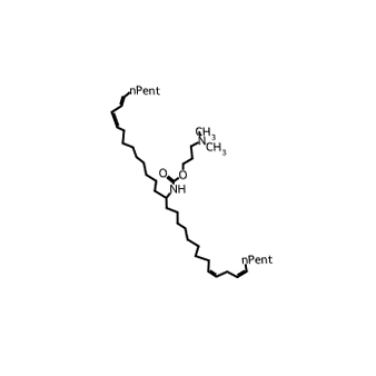 CCCCC/C=C\C/C=C\CCCCCCCCC(CCCCCCCC/C=C\C=C\CCCCC)NC(=O)OCCCN(C)C